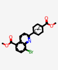 COC(=O)c1ccc(Br)c2nc(C34CCC(C(=O)OC)(CC3)CC4)ccc12